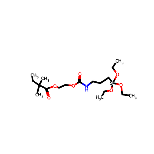 CCO[Si](CCCNC(=O)OCCOC(=O)C(C)(C)CC)(OCC)OCC